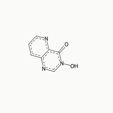 O=c1c2ncccc2ncn1O